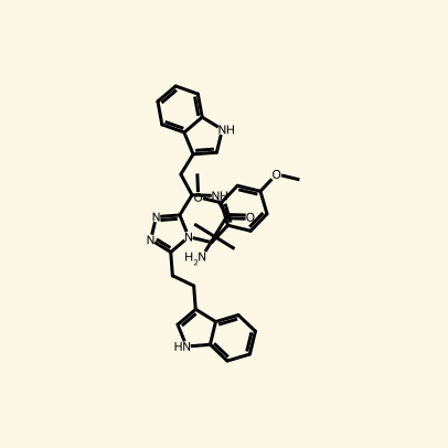 COc1ccc(Cn2c(CCc3c[nH]c4ccccc34)nnc2C(Cc2c[nH]c3ccccc23)NC(=O)C(C)(C)N)c(OC)c1